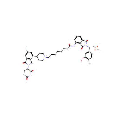 CCOc1cc([C@@H](CS(C)(=O)=O)N2C(=O)c3cccc(NC(=O)CCCCCCCN4CCC(c5cc(F)cc6c5CN(C5CCC(=O)NC5=O)C6=O)CC4)c3C2=O)ccc1OC